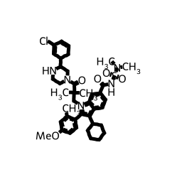 COc1ccc(-c2c(C3CCCCC3)c3ccc(C(=O)NS(=O)(=O)N(C)C)cc3n2CC(C)(C)C(=O)N2CCNC(C3C=C(Cl)C=CC3)C2)c(C)c1